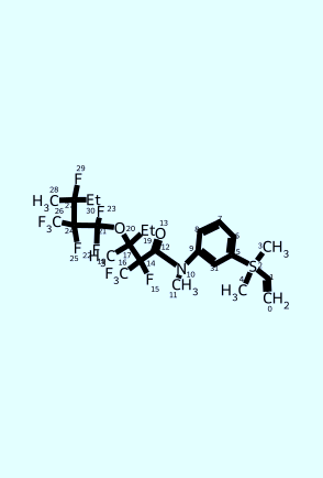 C=CS(C)(C)c1cccc(N(C)C(=O)C(F)(C(F)(F)F)C(C)(CC)OC(F)(F)C(F)(C(F)(F)F)C(C)(F)CC)c1